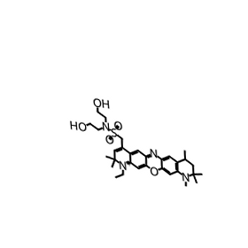 CC[N+]1=c2cc3c(cc2C(CS(=O)(=O)N(CCO)CCO)=CC1(C)C)=Nc1cc2c(cc1O3)N(C)C(C)(C)CC2C